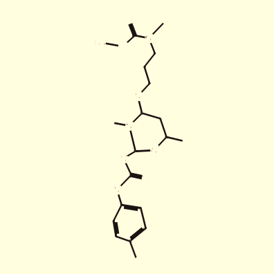 Cc1ccc(NC(=O)NC2NC(C)CC(NCCCN(C)C(=O)OC(C)(C)C)N2C)cc1